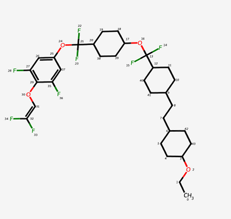 CCOC1CCC(CCC2CCC(C(F)(F)OC3CCC(C(F)(F)Oc4cc(F)c(OC=C(F)F)c(F)c4)CC3)CC2)CC1